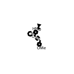 COc1ccc(CN2CCN(C(=O)c3ccc(NC(=O)C4CC4)cc3N3CCCCCC3)CC2)cc1